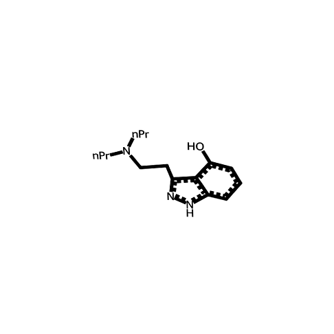 CCCN(CCC)CCc1n[nH]c2cccc(O)c12